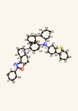 c1ccc(-c2nc3c(ccc4c(-c5ccc(N(c6ccc7c(c6)sc6ccccc67)c6ccccc6-c6ccccc6)cc5)cccc43)o2)cc1